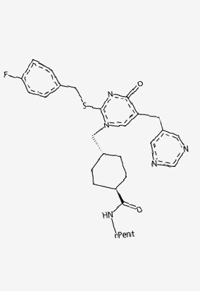 CCCCCNC(=O)[C@H]1CC[C@H](Cn2cc(Cc3cncnc3)c(=O)nc2SCc2ccc(F)cc2)CC1